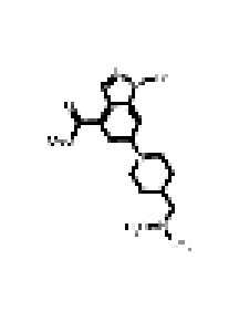 COC(=O)c1cc(N2CCC(CN(C)C)CC2)cc2c1cnn2C(C)C